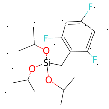 CC(C)O[Si](Cc1c(F)cc(F)cc1F)(OC(C)C)OC(C)C